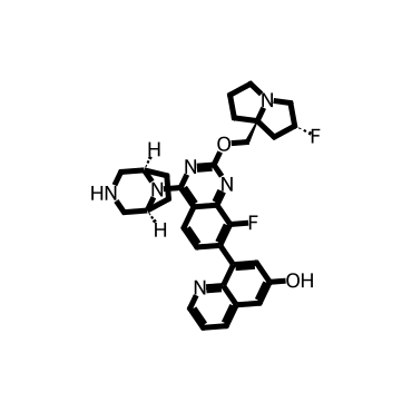 Oc1cc(-c2ccc3c(N4[C@@H]5CC[C@H]4CNC5)nc(OC[C@@]45CCCN4C[C@H](F)C5)nc3c2F)c2ncccc2c1